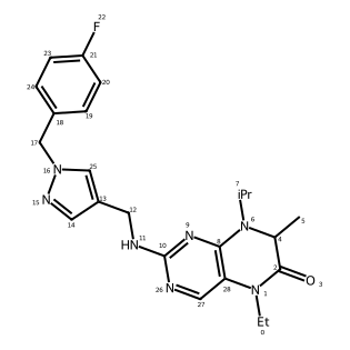 CCN1C(=O)C(C)N(C(C)C)c2nc(NCc3cnn(Cc4ccc(F)cc4)c3)ncc21